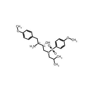 COc1ccc(C[C@H](N)[C@H](O)CN(CC(C)C)S(=O)(=O)c2ccc(OC)cc2)cc1